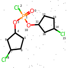 O=P(Cl)(OC1CCC(Cl)C1)OC1CCC(Cl)C1